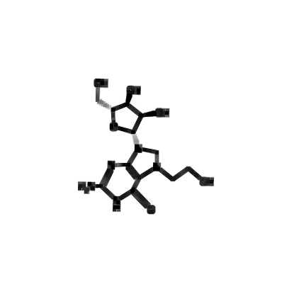 Nc1nc2c(c(=O)[nH]1)N(CCO)CN2[C@@H]1O[C@H](CO)[C@@H](O)[C@H]1O